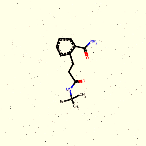 CCC(C)(C)NC(=O)C[CH]c1ccccc1C(N)=O